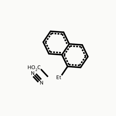 CC(=O)O.CCc1cccc2ccccc12.N#N